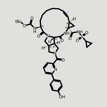 CC(C)(C)OC(=O)N[C@H]1CCCCC/C=C\[C@H]2C[C@@]2(C(=O)NS(=O)(=O)C2CC2)NC(=O)[C@@H]2[C@H]3CN(C(=O)c4cccc(-c5ccc(O)cc5)n4)C[C@H]3CN2C1=O